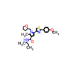 CCC(C)NC(=O)c1cc(-c2csc(-c3ccc(OC)cc3)n2)n(CC2CCCO2)c1C